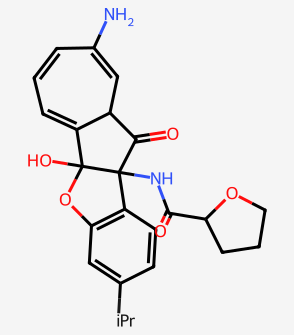 CC(C)c1ccc2c(c1)OC1(O)C3=CC=CC(N)=CC3C(=O)C21NC(=O)C1CCCO1